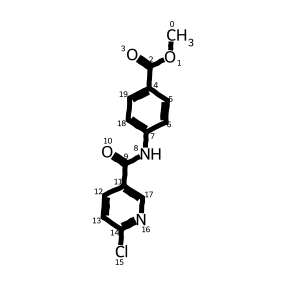 COC(=O)c1ccc(NC(=O)c2ccc(Cl)nc2)cc1